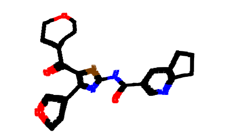 O=C(Nc1nc(-c2ccoc2)c(C(=O)C2CCOCC2)s1)c1cnc2c(c1)CCC2